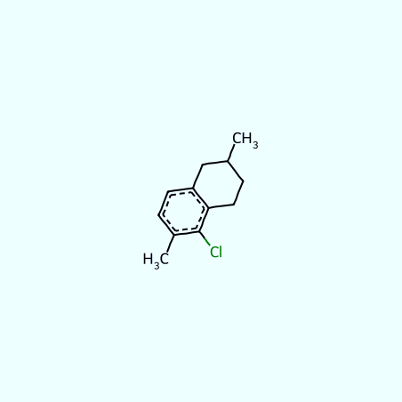 Cc1ccc2c(c1Cl)CCC(C)C2